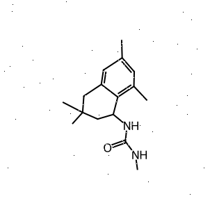 CNC(=O)NC1CC(C)(C)Cc2cc(C)cc(C)c21